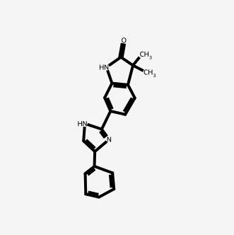 CC1(C)C(=O)Nc2cc(-c3nc(-c4ccccc4)c[nH]3)ccc21